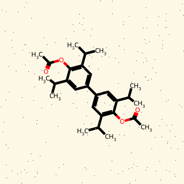 CC(=O)Oc1c(C(C)C)cc(-c2cc(C(C)C)c(OC(C)=O)c(C(C)C)c2)cc1C(C)C